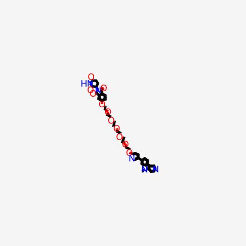 Cn1c2ccncc2c2ccc(-c3ccc(OCCOCCOCCOCCOCCOCCOc4ccc5c(c4)C(=O)N(C4CCC(=O)NC4=O)C5=O)nc3)cc21